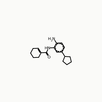 Nc1ccc(C2CCCC2)cc1NC(=O)C1=CCCCC1